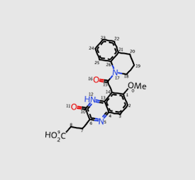 COc1ccc2nc(CCC(=O)O)c(=O)[nH]c2c1C(=O)N1CCCc2ccccc21